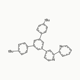 CC(C)(C)c1ccc(-c2cc(-c3ccc(C(C)(C)C)cc3)cc(-c3ccnc(-c4ccccn4)c3)c2)cc1